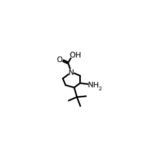 CC(C)(C)C1CCN(C(=O)O)CC1N